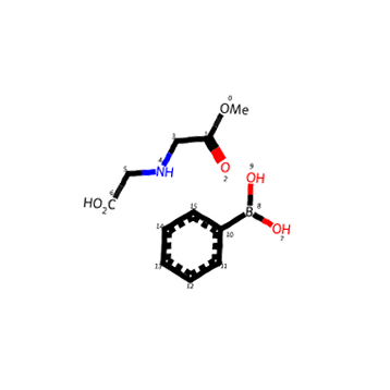 COC(=O)CNCC(=O)O.OB(O)c1ccccc1